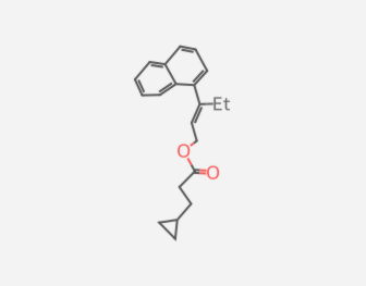 CCC(=CCOC(=O)CCC1CC1)c1cccc2ccccc12